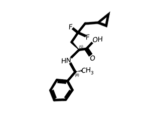 C[C@@H](N[C@@H](CC(F)(F)CC1CC1)C(=O)O)c1ccccc1